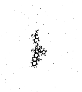 CCOC(=O)C1CCN(CCn2c(=O)c3cc(F)c(NC4CCCCC4)cc3n(C3CCCC3)c2=O)CC1